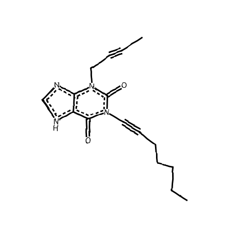 CC#CCn1c(=O)n(C#CCCCCC)c(=O)c2[nH]cnc21